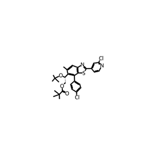 Cc1cc2nc(-c3ccnc(Cl)c3)sc2c(-c2ccc(Cl)cc2)c1[C@H](COC(=O)C(C)(C)C)OC(C)(C)C